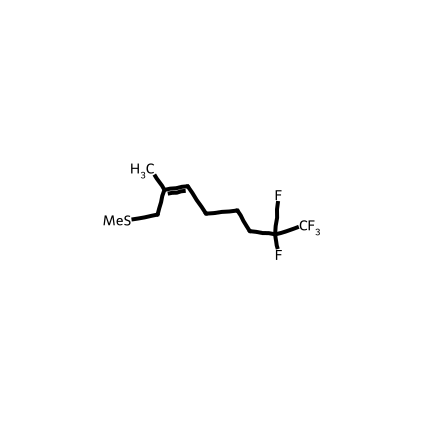 CSC/C(C)=C\CCCC(F)(F)C(F)(F)F